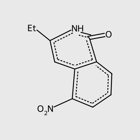 CCc1cc2c([N+](=O)[O-])cccc2c(=O)[nH]1